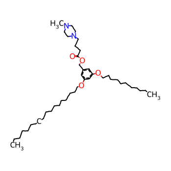 CCCCCCCCCCCCCCCCCCOc1cc(COC(=O)CCCN2CCN(C)CC2)cc(OCCCCCCCCCCC)c1